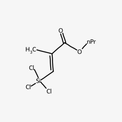 CCCOC(=O)C(C)=C[Si](Cl)(Cl)Cl